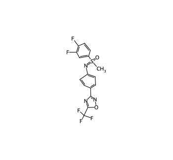 CS(=O)(=Nc1ccc(-c2noc(C(F)(F)F)n2)cc1)c1ccc(F)c(F)c1